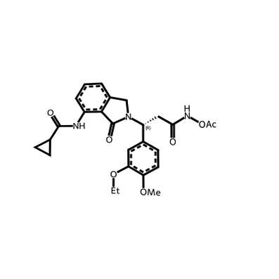 CCOc1cc([C@@H](CC(=O)NOC(C)=O)N2Cc3cccc(NC(=O)C4CC4)c3C2=O)ccc1OC